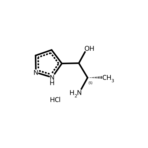 C[C@H](N)C(O)c1ccn[nH]1.Cl